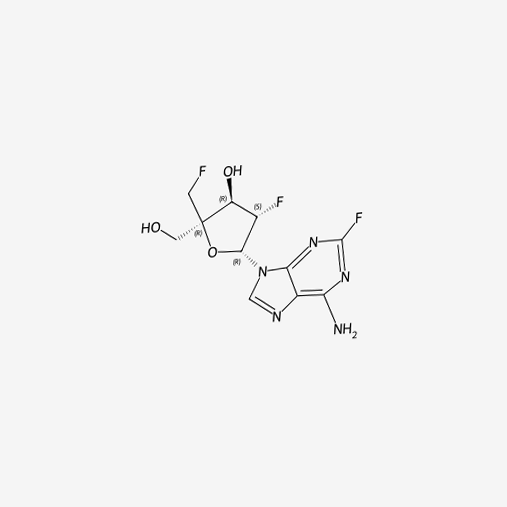 Nc1nc(F)nc2c1ncn2[C@@H]1O[C@@](CO)(CF)[C@@H](O)[C@@H]1F